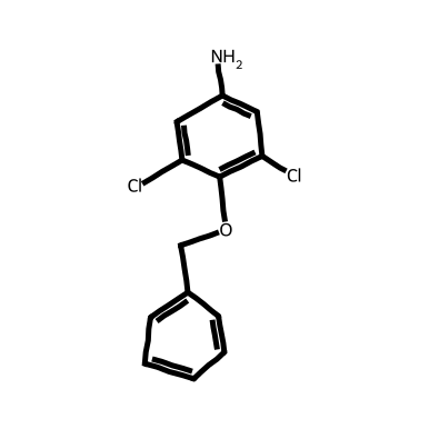 Nc1cc(Cl)c(OCc2ccccc2)c(Cl)c1